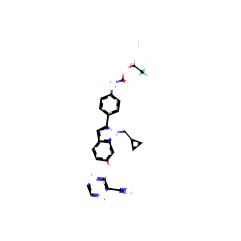 C[C@@H](OC(=O)Nc1ccc(-c2cc3ccc(Oc4nccnc4C#N)cc3n2CC2CC2)cc1)C(F)(F)F